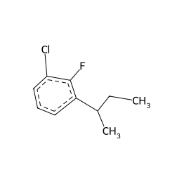 CCC(C)c1cccc(Cl)c1F